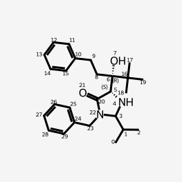 CC(C)C1N[C@@H]([C@@](O)(CCc2ccccc2)C(C)(C)C)C(=O)N1Cc1ccccc1